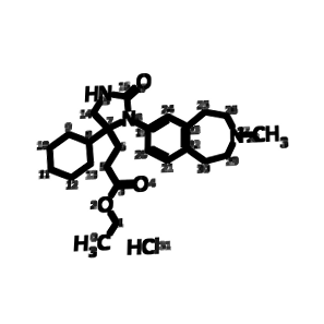 CCOC(=O)CCC1(C2CCCCC2)CNC(=O)N1c1ccc2c(c1)CCN(C)CC2.Cl